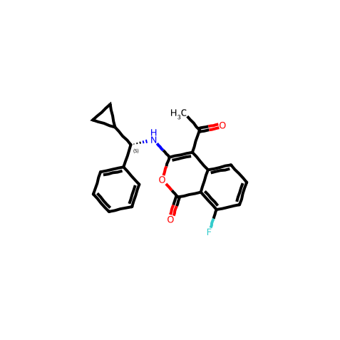 CC(=O)c1c(N[C@H](c2ccccc2)C2CC2)oc(=O)c2c(F)cccc12